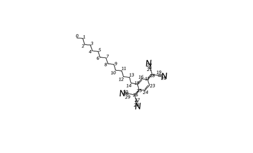 CCCCCCCCCCCCCCCc1cc(=C(C#N)C#N)ccc1=C(C#N)C#N